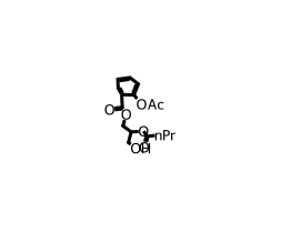 CCCC(=O)OC(CO)COC(=O)c1ccccc1OC(C)=O